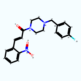 O=C(C=Cc1ccccc1[N+](=O)[O-])N1CCN(Cc2ccc(F)cc2)CC1